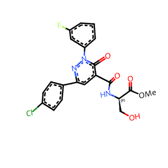 COC(=O)[C@@H](CO)NC(=O)c1cc(-c2ccc(Cl)cc2)nn(-c2cccc(F)c2)c1=O